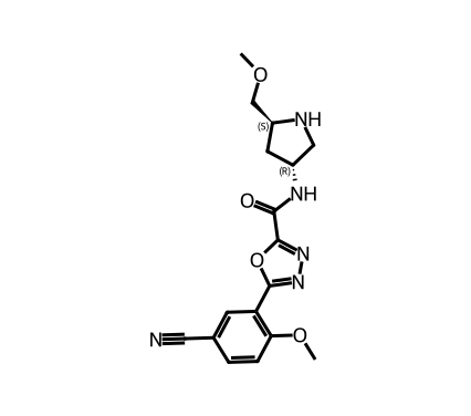 COC[C@@H]1C[C@@H](NC(=O)c2nnc(-c3cc(C#N)ccc3OC)o2)CN1